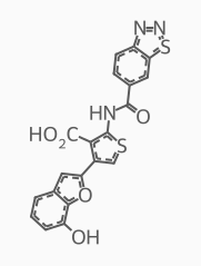 O=C(Nc1scc(-c2cc3cccc(O)c3o2)c1C(=O)O)c1ccc2nnsc2c1